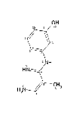 C/C(=C/N)C(=N)Nc1cccc(O)c1